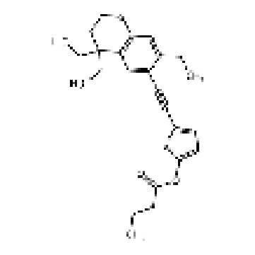 CCCC(=O)Oc1ccc(C#Cc2cc3c(cc2CC)SCCC3(CC)CC)s1